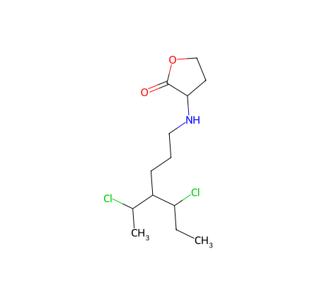 CCC(Cl)C(CCCNC1CCOC1=O)C(C)Cl